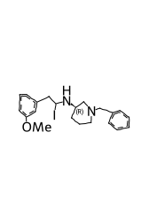 COc1cccc(CC(I)N[C@@H]2CCCN(Cc3ccccc3)C2)c1